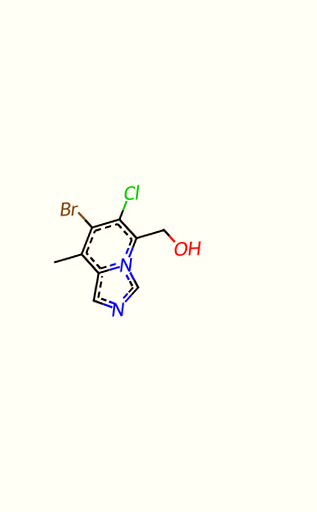 Cc1c(Br)c(Cl)c(CO)n2cncc12